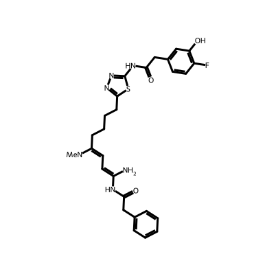 CN/C(=C\C=C(/N)NC(=O)Cc1ccccc1)CCCCc1nnc(NC(=O)Cc2ccc(F)c(O)c2)s1